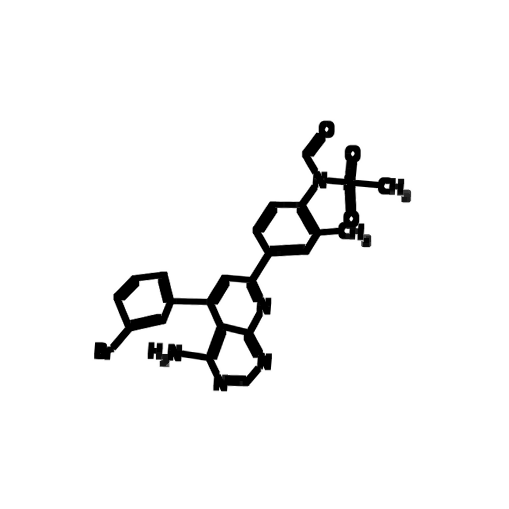 Cc1cc(-c2cc(-c3cccc(Br)c3)c3c(N)ncnc3n2)ccc1N(C=O)S(C)(=O)=O